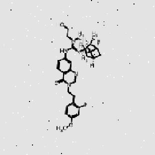 COc1ccc(CCn2cnc3cc(NC(=N[C@H]4C[C@@H]5C[C@H]([C@@H]4C)C5(C)C)N(C)CCO)ccc3c2=O)c(F)c1